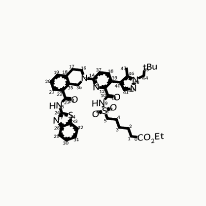 CCOC(=O)CCCCCS(=O)(=O)NC(=O)c1nc(N2CCc3cccc(C(=O)Nc4nc5ccccc5s4)c3C2)ccc1-c1cnn(CC(C)(C)C)c1C